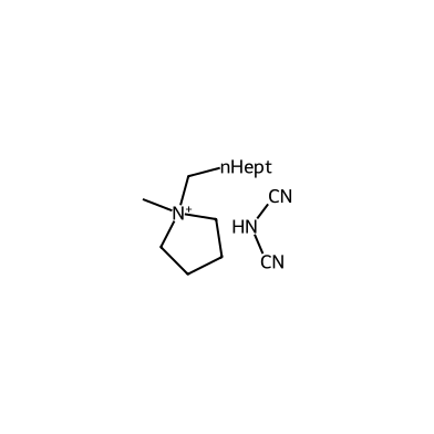 CCCCCCCC[N+]1(C)CCCC1.N#CNC#N